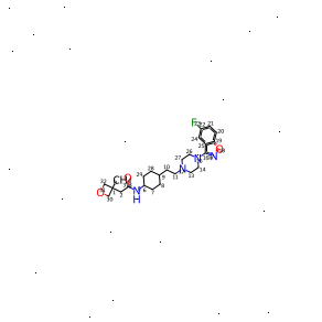 CC1(CC(=O)NC2CCC(CCN3CCN(c4noc5ccc(F)cc45)CC3)CC2)COC1